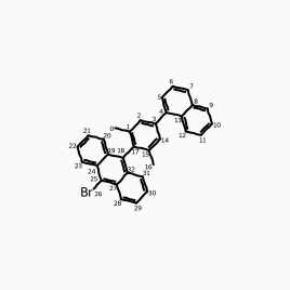 Cc1cc(-c2cccc3ccccc23)cc(C)c1-c1c2ccccc2c(Br)c2ccccc12